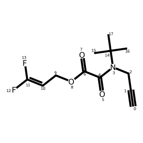 C#CCN(C(=O)C(=O)OCC=C(F)F)C(C)(C)C